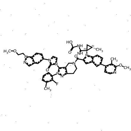 COCCn1ncc2cc(-n3ccn(-c4c5c(nn4-c4cccc(C)c4F)CCN(C(=O)c4cc6cc(-c7ccnc(OC)c7C)ccc6n4[C@@]4(C(=N)NC(=O)O)C[C@@H]4C)C5)c3=O)ccc21